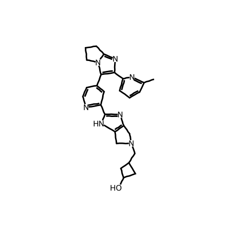 Cc1cccc(-c2nc3n(c2-c2ccnc(-c4nc5c([nH]4)CN(CC4CC(O)C4)C5)c2)CCC3)n1